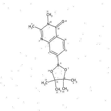 Cc1nc2cc(B3OC(C)(C)C(C)(C)O3)ccc2c(=O)n1C